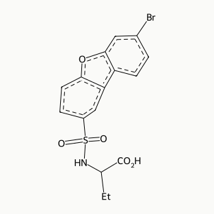 CCC(NS(=O)(=O)c1ccc2oc3cc(Br)ccc3c2c1)C(=O)O